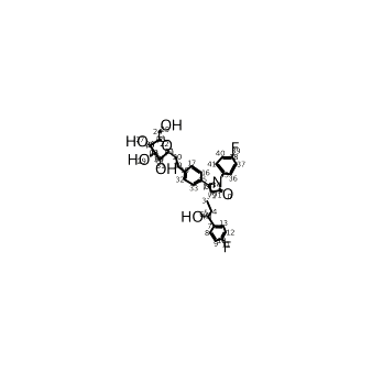 O=C1[C@H](CC[C@H](O)c2ccc(F)cc2)[C@@H](c2ccc(CC[C@@H]3O[C@H](CO)[C@@H](O)[C@H](O)[C@H]3O)cc2)N1c1ccc(F)cc1